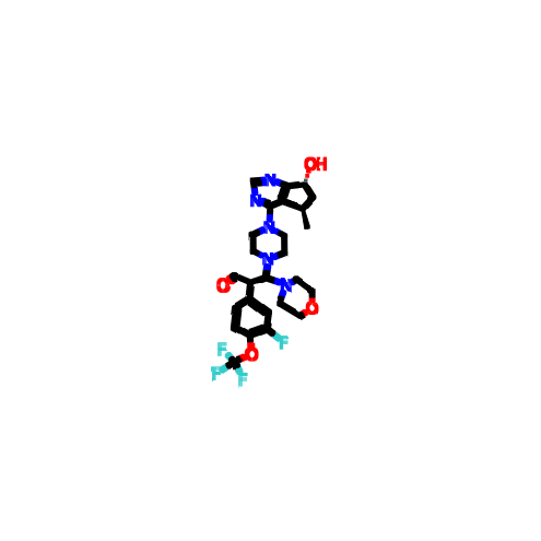 C[C@@H]1C[C@@H](O)c2ncnc(N3CCN(C(C(C=O)c4ccc(OC(F)(F)F)c(F)c4)N4CCOCC4)CC3)c21